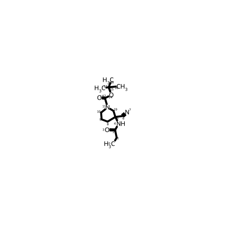 CCC(=O)NC1(C#N)CCCN(C(=O)OC(C)(C)C)C1